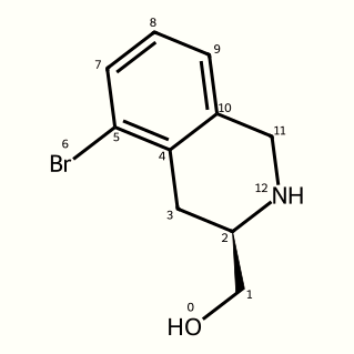 OC[C@H]1Cc2c(Br)cccc2CN1